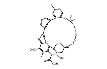 COC(=O)[C@@H](OC(C)(C)C)c1c(C)c(C=O)c2nc3cn2c1N1CCC(C)(CC1)OCCCC[C@H](C)Oc1ccc(F)cc1-c1cccc-3c1